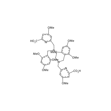 COc1cc(CN(CCN(Cc2cc(OC)cc(C(=O)O)n2)Cc2c(OC)cc(OC)cc2OC)Cc2c(OC)cc(OC)cc2OC)nc(C(=O)O)c1